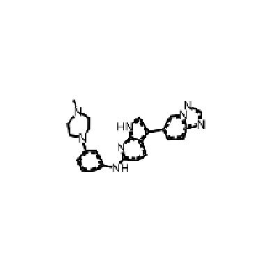 CN1CCN(c2cccc(Nc3ccc4c(-c5ccc6ncnn6c5)c[nH]c4n3)c2)CC1